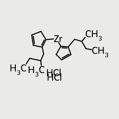 CCC(C)CC1=[C]([Zr][C]2=C(CC(C)CC)C=CC2)CC=C1.Cl.Cl